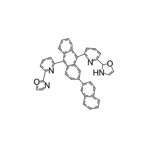 C1=COC(c2cccc(-c3c4ccccc4c(-c4cccc(-c5ncco5)n4)c4ccc(-c5ccc6ccccc6c5)cc34)n2)N1